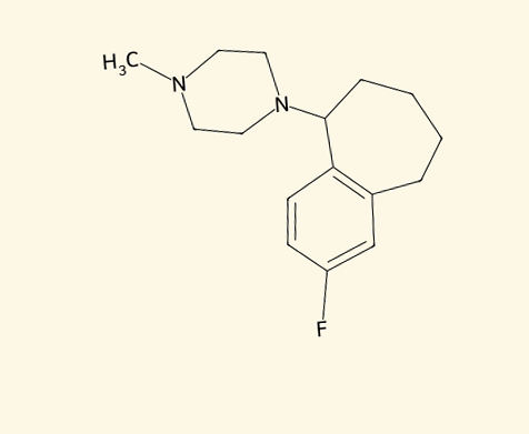 CN1CCN(C2CCCCc3cc(F)ccc32)CC1